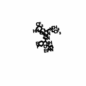 CCn1nccc1C(=O)N[C@H](c1cn2nc(C[C@H]3C[C@@H](C(F)(F)F)CNC3=O)c(CN(C)CC(F)(F)F)nc2n1)C1CCC(F)(F)CC1